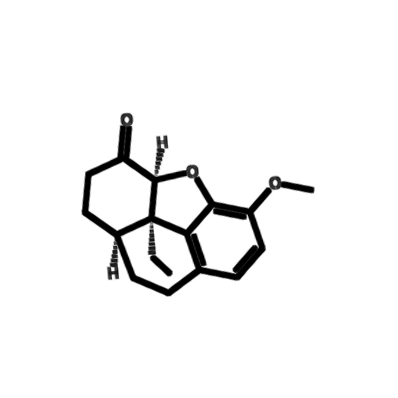 CC[C@@]12c3c4ccc(OC)c3O[C@@H]1C(=O)CC[C@@H]2CC4